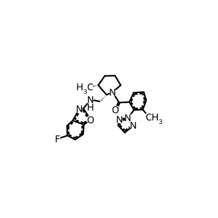 Cc1cccc(C(=O)N2CCC[C@@H](C)[C@H]2CNc2nc3cc(F)ccc3o2)c1-n1nccn1